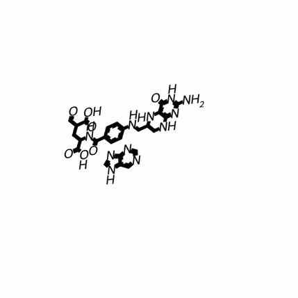 Nc1nc2c(c(=O)[nH]1)NC(CNc1ccc(C(=O)NC(CC(C=O)C(=O)O)C(=O)O)cc1)CN2.c1ncc2[nH]cnc2n1